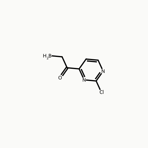 BCC(=O)c1ccnc(Cl)n1